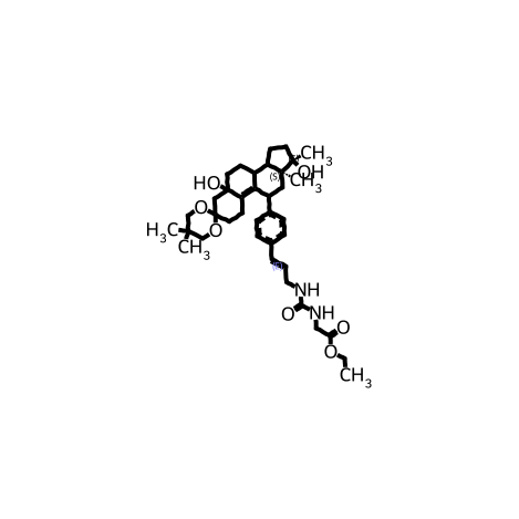 CCOC(=O)CNC(=O)NC/C=C/c1ccc(C2C[C@@]3(C)C(CC[C@]3(C)O)C3CCC4(O)CC5(CCC4=C23)OCC(C)(C)CO5)cc1